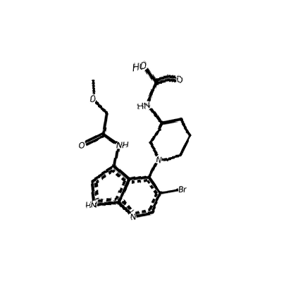 COCC(=O)Nc1c[nH]c2ncc(Br)c(N3CCCC(NC(=O)O)C3)c12